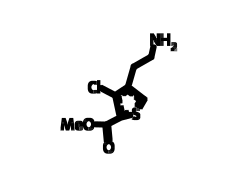 COC(=O)c1scc(CCN)c1Cl